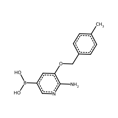 Cc1ccc(COc2cc(B(O)O)cnc2N)cc1